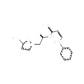 Cc1ccn(CC(=O)NC(=N)/C=C\Nc2ccccc2)n1